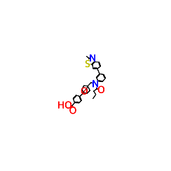 CCCC(=O)N(CC12CCC(c3ccc(C(=O)O)cc3)(CC1)OC2)c1cccc(-c2ccc3nc(C)sc3c2)c1